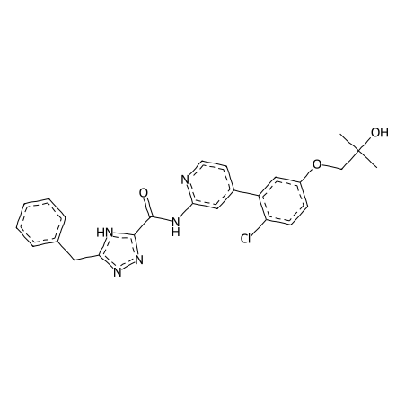 CC(C)(O)COc1ccc(Cl)c(-c2ccnc(NC(=O)c3nnc(Cc4ccccc4)[nH]3)c2)c1